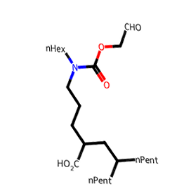 CCCCCCN(CCCC(CC(CCCCC)CCCCC)C(=O)O)C(=O)OCC=O